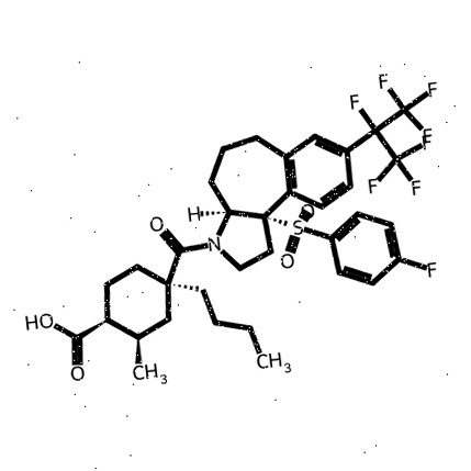 CCCC[C@@]1(C(=O)N2CC[C@]3(S(=O)(=O)c4ccc(F)cc4)c4ccc(C(F)(C(F)(F)F)C(F)(F)F)cc4CCC[C@H]23)CC[C@H](C(=O)O)[C@H](C)C1